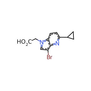 O=C(O)Cn1cc(Br)c2nc(C3CC3)ccc21